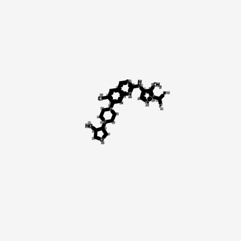 Cc1c(Nc2ncc3cc(Cl)c(N4CCN(C5COCC5O)CC4)cc3n2)cnn1C(F)F